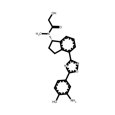 CN(C(=O)CO)[C@H]1CCc2c(-c3noc(-c4ccc(O)c(N)c4)n3)cccc21